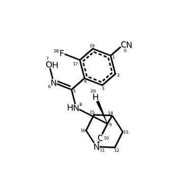 N#Cc1ccc(/C(=N\O)N[C@H]2CN3CCC2CC3)c(F)c1